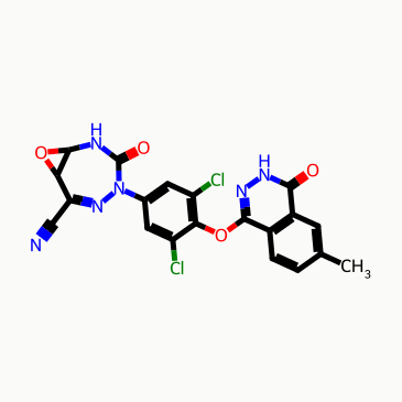 Cc1ccc2c(Oc3c(Cl)cc(N4N=C(C#N)C5OC5NC4=O)cc3Cl)n[nH]c(=O)c2c1